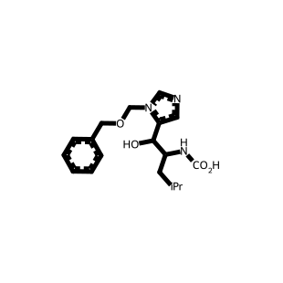 CC(C)CC(NC(=O)O)C(O)c1cncn1COCc1ccccc1